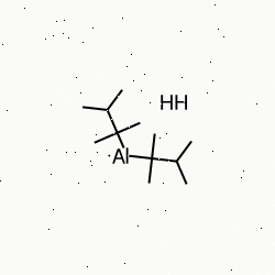 CC(C)[C](C)(C)[Al][C](C)(C)C(C)C.[HH]